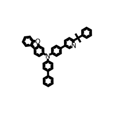 CC(C)(c1ccccc1)c1ccc(-c2ccc(N(c3ccc(-c4ccccc4)cc3)c3ccc4c(c3)oc3ccccc34)cc2)cn1